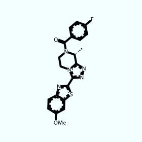 COc1ccc2nc(-c3nnc4n3CCN(C(=O)c3ccc(F)cc3)[C@@H]4C)sc2c1